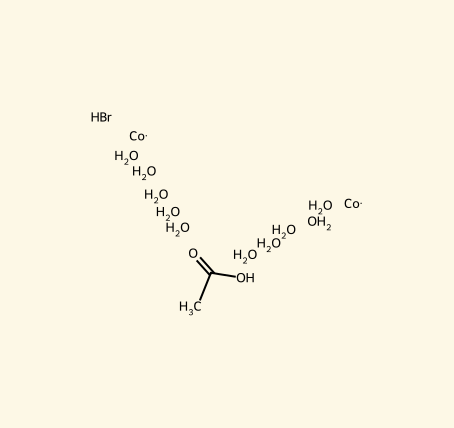 Br.CC(=O)O.O.O.O.O.O.O.O.O.O.O.[Co].[Co]